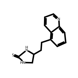 S=C1NCC(CCc2cccc3ncccc23)N1